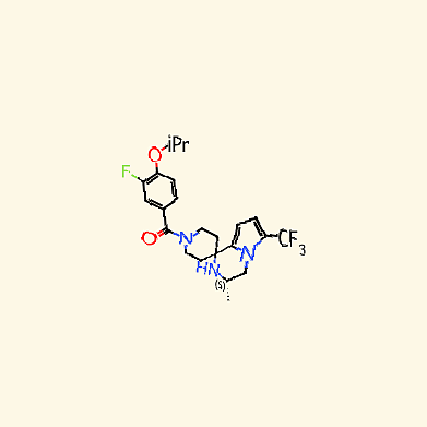 CC(C)Oc1ccc(C(=O)N2CCC3(CC2)N[C@@H](C)Cn2c(C(F)(F)F)ccc23)cc1F